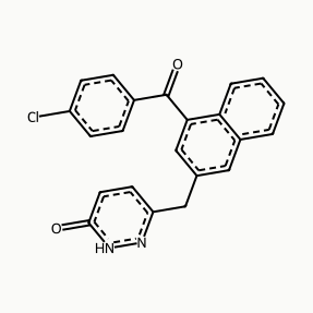 O=C(c1ccc(Cl)cc1)c1cc(Cc2ccc(=O)[nH]n2)cc2ccccc12